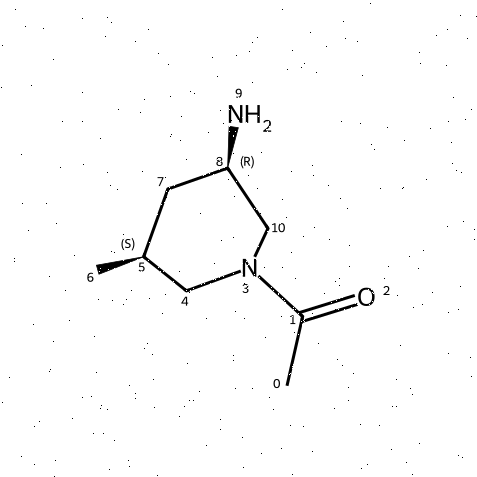 CC(=O)N1C[C@@H](C)C[C@@H](N)C1